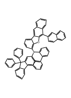 c1ccc(-c2ccccc2N(c2ccc3c(c2)C(c2ccccc2)(c2ccccc2)c2ccccc2-3)c2cccc3c2oc2c(-c4ccc5ccccc5c4)c4ccccc4cc23)cc1